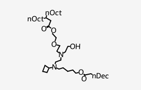 CCCCCCCCCCCC(=O)OCCCCCN(CCN(CCO)CCOCCOC(=O)CC(CCCCCCCC)CCCCCCCC)C1CCC1